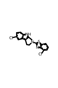 Clc1ccc2[nH]c3c(c2c1)CCN(c1nc2c(Cl)cccc2s1)C3